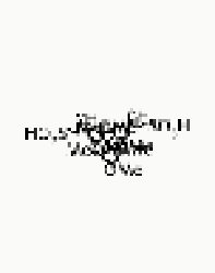 COc1cc(OC)c(C(c2c(OC)cc(N(C)CCS(=O)(=O)O)cc2OC)c2c(OC)cc(N(C)CCS(=O)(=O)O)cc2OC)c(OC)c1